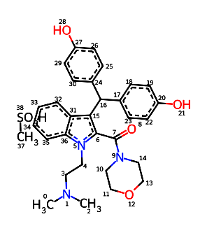 CN(C)CCn1c(C(=O)N2CCOCC2)c(C(c2ccc(O)cc2)c2ccc(O)cc2)c2ccccc21.CS(=O)(=O)O